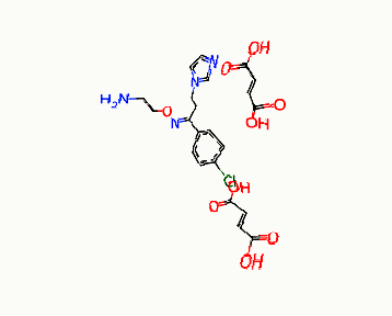 NCCON=C(CCn1ccnc1)c1ccc(Cl)cc1.O=C(O)/C=C/C(=O)O.O=C(O)/C=C/C(=O)O